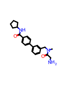 CN(Cc1cccc(-c2ccc(C(=O)NC3CCCC3)cc2)c1)C(=O)CN